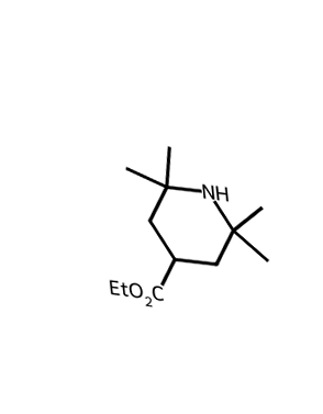 CCOC(=O)C1CC(C)(C)NC(C)(C)C1